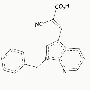 N#C/C(=C\c1cn(Cc2ccccc2)c2ncccc12)C(=O)O